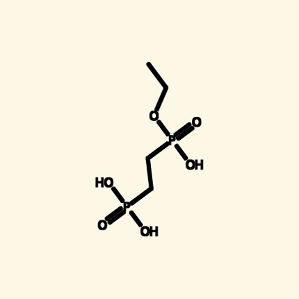 CCOP(=O)(O)CCP(=O)(O)O